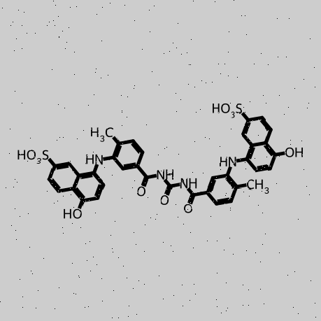 Cc1ccc(C(=O)NC(=O)NC(=O)c2ccc(C)c(Nc3ccc(O)c4ccc(S(=O)(=O)O)cc34)c2)cc1Nc1ccc(O)c2ccc(S(=O)(=O)O)cc12